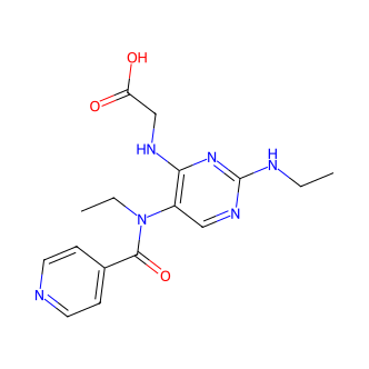 CCNc1ncc(N(CC)C(=O)c2ccncc2)c(NCC(=O)O)n1